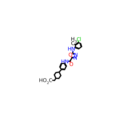 Cc1c(Cl)cccc1Nc1nnc(C(=O)Nc2ccc(C3CCC(CC(=O)O)CC3)cc2)o1